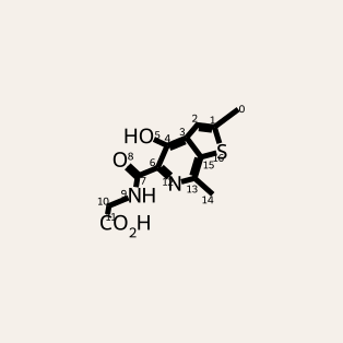 Cc1cc2c(O)c(C(=O)NCC(=O)O)nc(C)c2s1